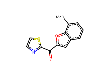 COc1cccc2cc(C(=O)c3nccs3)oc12